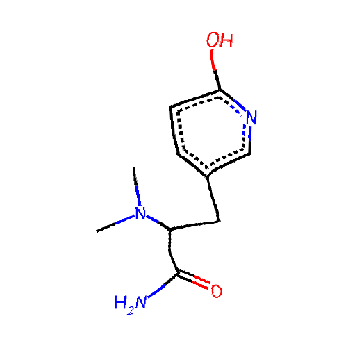 CN(C)C(Cc1ccc(O)nc1)C(N)=O